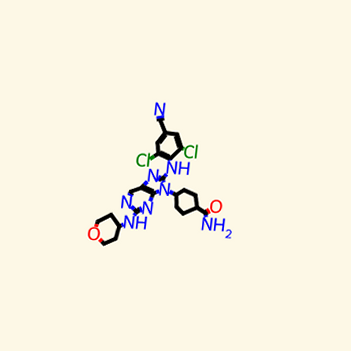 N#Cc1cc(Cl)c(Nc2nc3cnc(NC4CCOCC4)nc3n2C2CCC(C(N)=O)CC2)c(Cl)c1